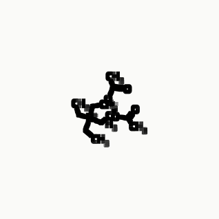 CC(=O)O[I-]OC(C)=O.CC[N+](CC)(CC)CC